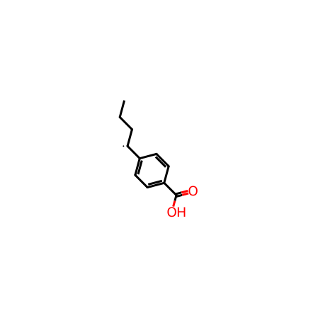 CCC[CH]c1ccc(C(=O)O)cc1